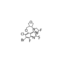 CSc1nc2c3c(c(Cl)c(Br)c(F)c3n1)OCC1COCC1N2CC(F)F